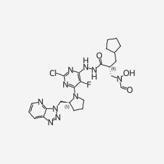 O=CN(O)C[C@@H](CC1CCCC1)C(=O)NNc1nc(Cl)nc(N2CCC[C@H]2Cn2nnc3cccnc32)c1F